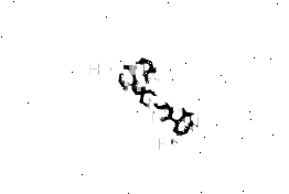 CCOc1cc(-c2ccc(N3CCC(CN4CC[C@H](C)N(C)CC4)(NC(=O)c4ncccc4Cl)CC3)nc2)c2c(C#N)cnn2c1